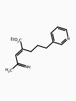 CCOC(=O)/C(=C/C(C)=N)CCCc1cccnc1